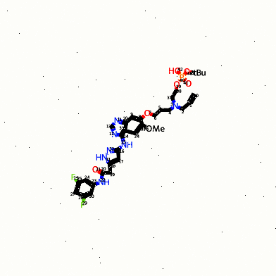 C#CCN(CCCOc1cc2ncnc(Nc3cc(CC(=O)Nc4cc(F)cc(F)c4)[nH]n3)c2cc1OC)CCOP(=O)(O)OC(C)(C)C